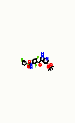 CC1(C)OB(c2cnc3[nH]cc(C(=O)c4c(F)ccc(NS(=O)(=O)C5CC[C@@H](F)C5)c4F)c3c2)OC1(C)C